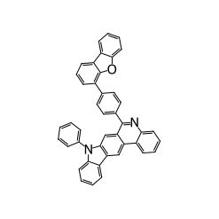 c1ccc(-n2c3ccccc3c3cc4c(cc32)c(-c2ccc(-c3cccc5c3oc3ccccc35)cc2)nc2ccccc24)cc1